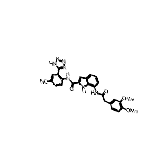 COc1ccc(CC(=O)Nc2cccc3cc(C(=O)Nc4ccc(C#N)cc4-c4nnn[nH]4)[nH]c23)cc1OC